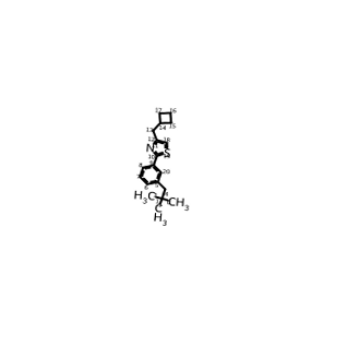 CC(C)(C)Cc1cccc(-c2nc(CC3CCC3)cs2)c1